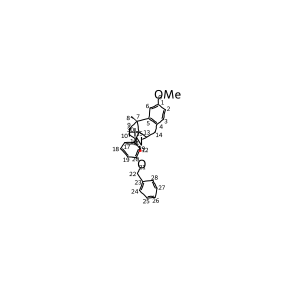 COc1ccc2c(c1)[C@@]1(C)CCN(C)C(C2)[C@@H]1c1cccc(OCc2ccccc2)c1